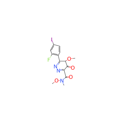 COC1C(=O)C(C(=O)N(C)OC)=NN=C1c1ccc(I)cc1F